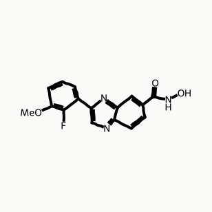 COc1cccc(-c2cnc3ccc(C(=O)NO)cc3n2)c1F